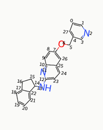 c1cncc(COc2ccc3nc(NC4CCc5ccccc54)ccc3c2)c1